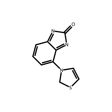 O=C1N=c2cccc(N3C=CSC3)c2=N1